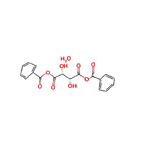 O.O=C(OC(=O)[C@H](O)[C@@H](O)C(=O)OC(=O)c1ccccc1)c1ccccc1